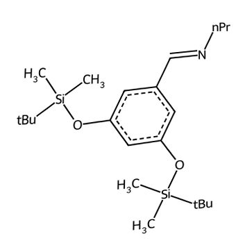 CCCN=Cc1cc(O[Si](C)(C)C(C)(C)C)cc(O[Si](C)(C)C(C)(C)C)c1